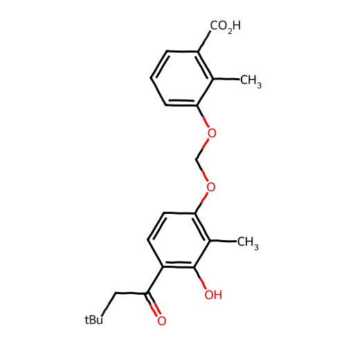 Cc1c(OCOc2ccc(C(=O)CC(C)(C)C)c(O)c2C)cccc1C(=O)O